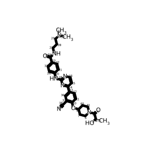 C[C@H](O)C(=O)N1CCC(Oc2ccc(-c3ccnc(Nc4ccc(C(=O)NCCCN(C)C)cc4)n3)cc2C#N)CC1